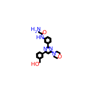 NCC(=O)Nc1cccc(-c2nc(-c3cccc(CO)c3)cc(N3CCOCC3)n2)c1